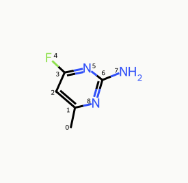 Cc1cc(F)nc(N)n1